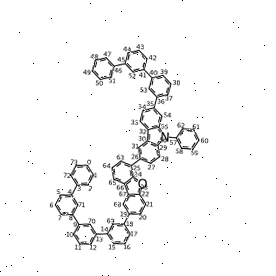 c1ccc(-c2cccc(-c3cccc(-c4cccc(-c5ccc6oc7c(-c8ccc9c(c8)c8ccc(-c%10cccc(-c%11cccc(-c%12ccccc%12)c%11)c%10)cc8n9-c8ccccc8)cccc7c6c5)c4)c3)c2)cc1